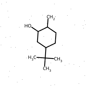 [CH2]C1CCC(C(C)(C)C)CC1O